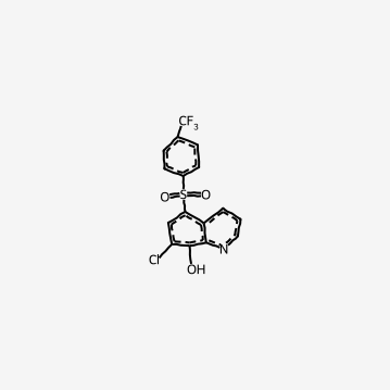 O=S(=O)(c1ccc(C(F)(F)F)cc1)c1cc(Cl)c(O)c2ncccc12